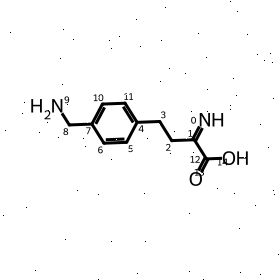 N=C(CCc1ccc(CN)cc1)C(=O)O